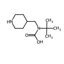 CC(C)(C)N(CC1CCNCC1)C(=O)O